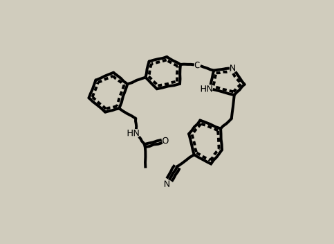 CC(=O)NCc1ccccc1-c1ccc(Cc2ncc(Cc3ccc(C#N)cc3)[nH]2)cc1